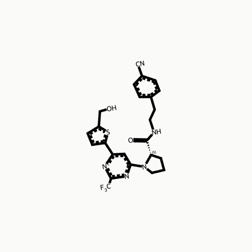 N#Cc1ccc(CCNC(=O)[C@@H]2CCCN2c2cc(-c3ccc(CO)s3)nc(C(F)(F)F)n2)cc1